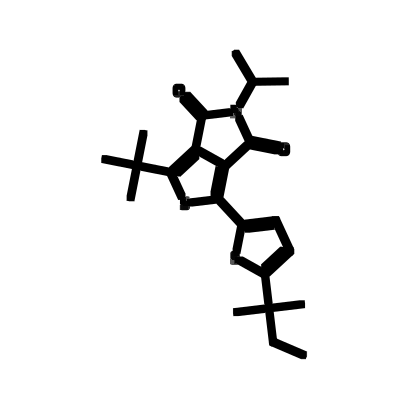 CCC(C)(C)c1ccc(-c2sc(C(C)(C)C)c3c2C(=O)N(C(C)C)C3=O)s1